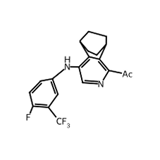 CC(=O)c1ncc(Nc2ccc(F)c(C(F)(F)F)c2)c2c1C1CCC2CC1